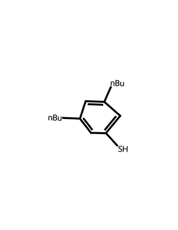 CCCCc1cc(S)cc(CCCC)c1